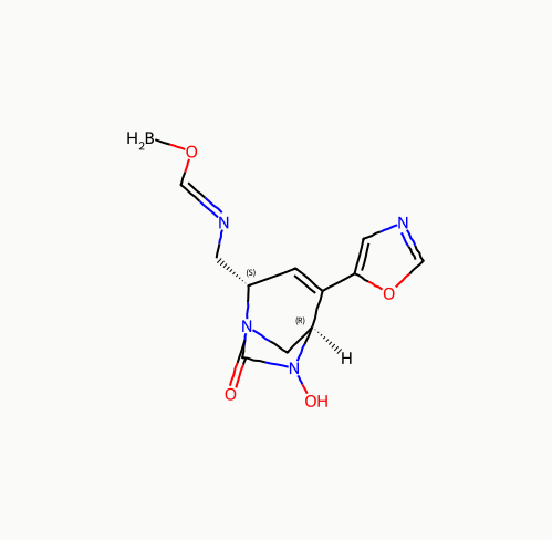 BOC=NC[C@@H]1C=C(c2cnco2)[C@@H]2CN1C(=O)N2O